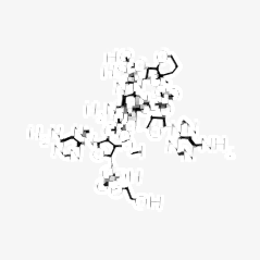 Nc1ncnc2c1ncn2[C@@H]1O[C@H](COP(=O)(O)OC2C(OCI)[C@@H](COP(=O)(O)OCCO)O[C@H]2n2cnc3c(N)ncnc32)C(O)C1OP(=O)(O)OC[C@]12CCCOC1C(OP(=O)(O)S)[C@H](n1cnc3c(N)ncnc31)O2